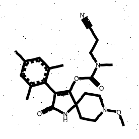 CON1CCC2(CC1)NC(=O)C(c1c(C)cc(C)cc1C)=C2OC(=O)N(C)CCC#N